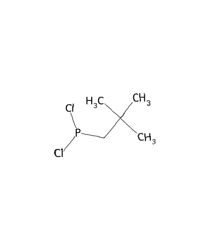 CC(C)(C)CP(Cl)Cl